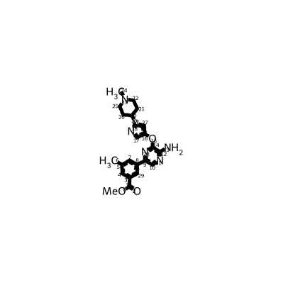 COC(=O)c1cc(C)cc(-c2cnc(N)c(Oc3cnn(C4CCN(C)CC4)c3)n2)c1